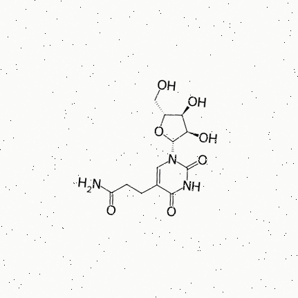 NC(=O)CCc1cn([C@@H]2O[C@H](CO)[C@@H](O)[C@H]2O)c(=O)[nH]c1=O